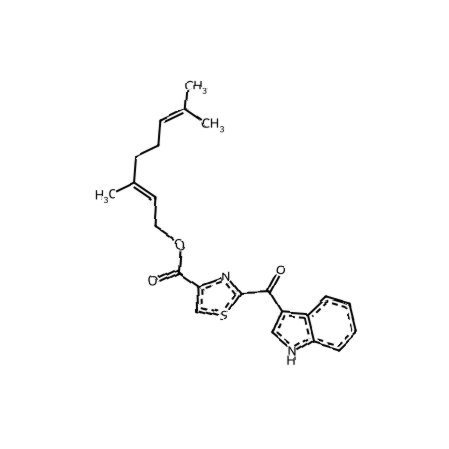 CC(C)=CCC/C(C)=C/COC(=O)c1csc(C(=O)c2c[nH]c3ccccc23)n1